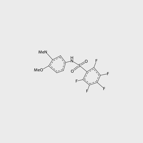 CNc1cc(NS(=O)(=O)c2c(F)c(F)c(F)c(F)c2F)ccc1OC